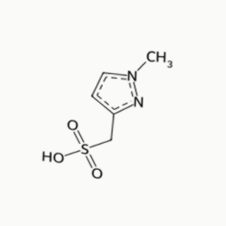 Cn1ccc(CS(=O)(=O)O)n1